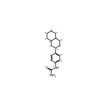 NC(=S)Nc1ccc(N2CCC3CCCCC3C2)cc1